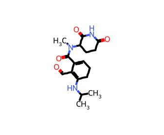 CC(C)NC1=C(C=O)C(C(=O)N(C)C2CCC(=O)NC2=O)=CCC1